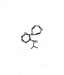 CC(C)Nc1cccnc1N1C=CC=NC=C1